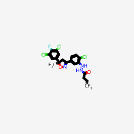 O=C(CCC(F)(F)F)NNc1cc(C2=NOC(c3cc(Cl)c(F)c(Cl)c3)(C(F)(F)F)C2)ccc1Cl